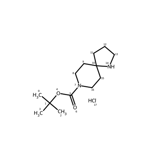 CC(C)(C)OC(=O)N1CCC2(CCCN2)CC1.Cl